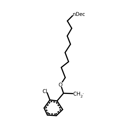 [CH2]C(OCCCCCCCCCCCCCCCCCC)c1ccccc1Cl